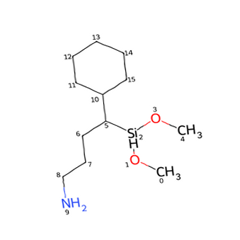 CO[SiH](OC)C(CCCN)C1CCCCC1